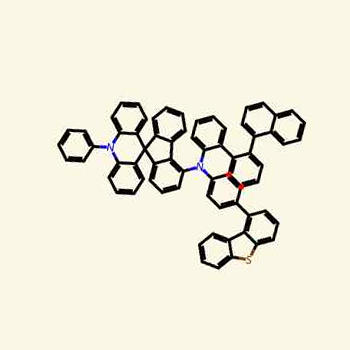 c1ccc(N2c3ccccc3C3(c4ccccc4-c4c(N(c5ccc(-c6cccc7sc8ccccc8c67)cc5)c5ccccc5-c5ccccc5-c5cccc6ccccc56)cccc43)c3ccccc32)cc1